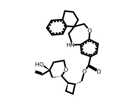 C=C[C@]1(O)CCO[C@H]([C@@H]2CC[C@H]2COC(=O)c2ccc3c(c2)NCC2(CCCc4ccccc42)CO3)C1